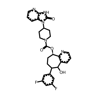 O=C(O[C@@H]1CCC(c2cc(F)cc(F)c2)C(O)c2cccnc21)N1CCC(n2c(=O)[nH]c3ncccc32)CC1